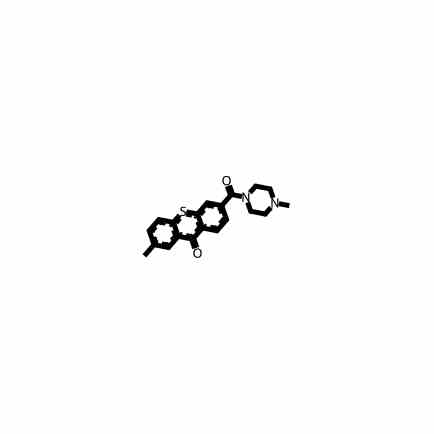 Cc1ccc2sc3cc(C(=O)N4CCN(C)CC4)ccc3c(=O)c2c1